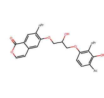 CCCc1cc2c(=O)o[c]cc2cc1OCC(O)COc1ccc(C(C)=O)c(O)c1CCC